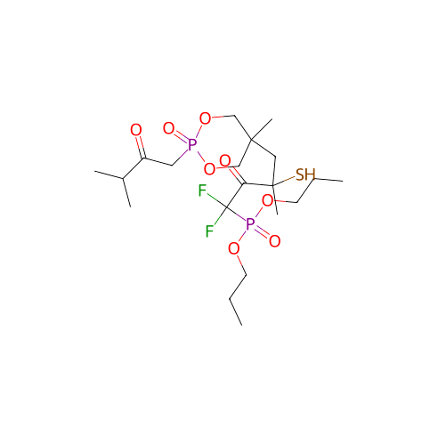 CCCOP(=O)(OCCC)C(F)(F)C(=O)C(C)(S)CC1(C)COP(=O)(CC(=O)C(C)C)OC1